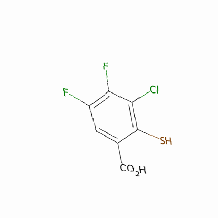 O=C(O)c1cc(F)c(F)c(Cl)c1S